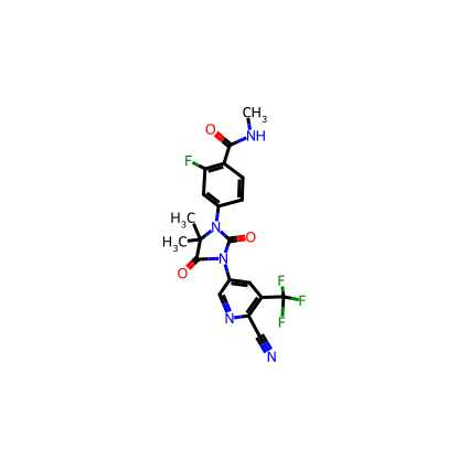 CNC(=O)c1ccc(N2C(=O)N(c3cnc(C#N)c(C(F)(F)F)c3)C(=O)C2(C)C)cc1F